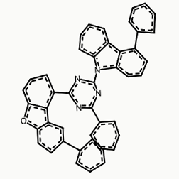 c1ccc(-c2ccc3oc4cccc(-c5nc(-c6ccccc6)nc(-n6c7ccccc7c7c(-c8ccccc8)cccc76)n5)c4c3c2)cc1